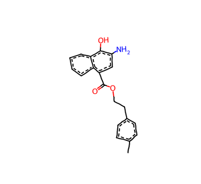 Cc1ccc(CCOC(=O)c2cc(N)c(O)c3ccccc23)cc1